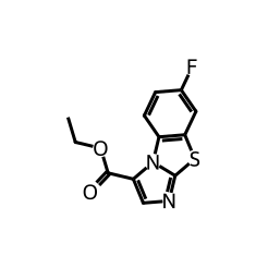 CCOC(=O)c1cnc2sc3cc(F)ccc3n12